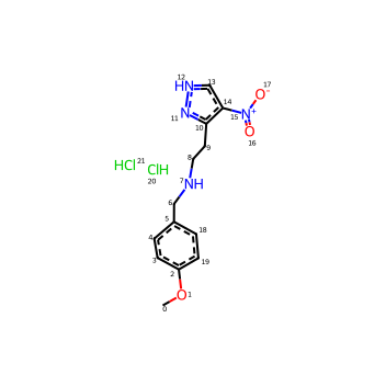 COc1ccc(CNCCc2n[nH]cc2[N+](=O)[O-])cc1.Cl.Cl